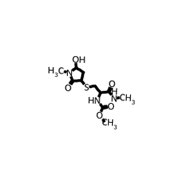 CNC(=O)C(CSC1CC(O)N(C)C1=O)NC(=O)OC